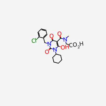 CN(CC(=O)O)C(=O)c1c(O)n(C2CCCCC2)c(=O)n(Cc2ccccc2Cl)c1=O